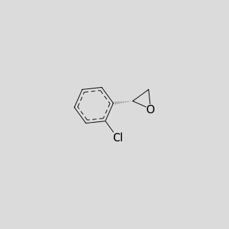 Clc1ccccc1[C@@H]1CO1